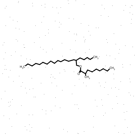 CCCCCCCCCCCCCCC(CCCCC)COC(=O)C(C)CCCCCCC